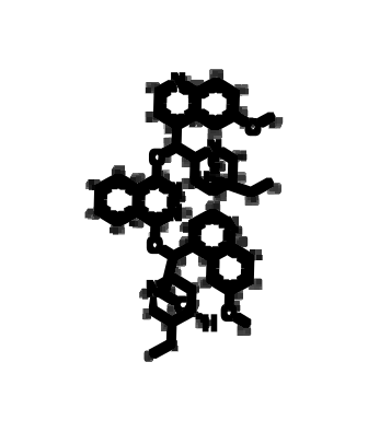 CCC1C[N@@]2CC[C@@H]1CC2C(Oc1nnc(OC(c2ccnc3ccc(OC)cc23)C2CC3CCN2C[SH]3CC)c2ccccc12)c1ccnc2ccc(OC)cc12